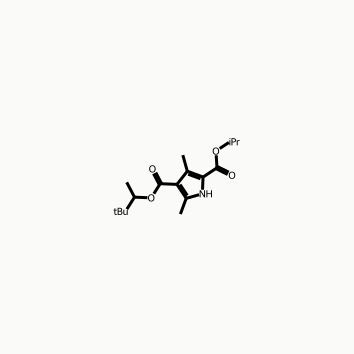 Cc1[nH]c(C(=O)OC(C)C)c(C)c1C(=O)OC(C)C(C)(C)C